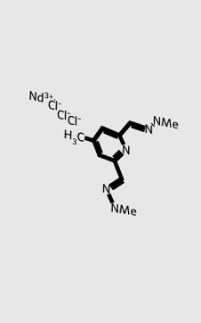 CNN=Cc1cc(C)cc(C=NNC)n1.[Cl-].[Cl-].[Cl-].[Nd+3]